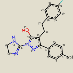 COc1ccc(-c2nn(C3=NCCN3)c(O)c2CCc2ccc(F)cc2)cc1